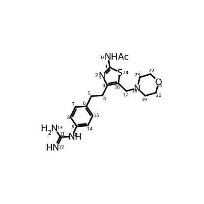 CC(=O)Nc1nc(CCc2ccc(NC(=N)N)cc2)c(CN2CCOCC2)s1